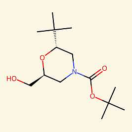 CC(C)(C)OC(=O)N1C[C@@H](CO)O[C@H](C(C)(C)C)C1